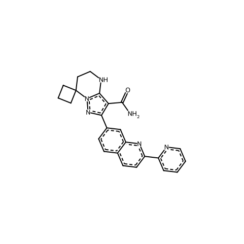 NC(=O)c1c(-c2ccc3ccc(-c4ccccn4)nc3c2)nn2c1NCCC21CCC1